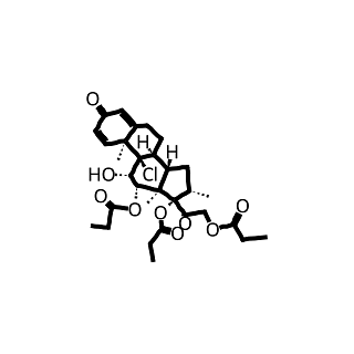 CCC(=O)OCC(=O)[C@]1(OC(=O)CC)[C@@H](C)C[C@H]2[C@@H]3CCC4=CC(=O)C=C[C@]4(C)[C@@]3(Cl)[C@@H](O)[C@@H](OC(=O)CC)[C@@]21C